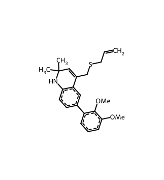 C=CCSCC1=CC(C)(C)Nc2ccc(-c3cccc(OC)c3OC)cc21